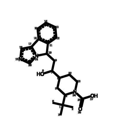 CC(C)(C)C1CC(C(O)CC2c3ccccc3-c3cncn32)CCN1C(=O)O